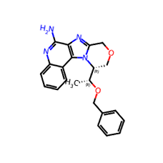 C[C@@H](OCc1ccccc1)[C@H]1COCc2nc3c(N)nc4ccccc4c3n21